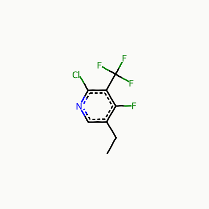 CCc1cnc(Cl)c(C(F)(F)F)c1F